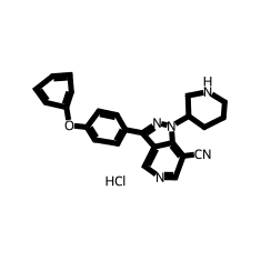 Cl.N#Cc1cncc2c(-c3ccc(Oc4ccccc4)cc3)nn(C3CCCNC3)c12